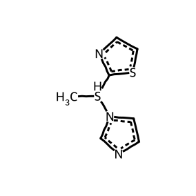 C[SH](c1nccs1)n1ccnc1